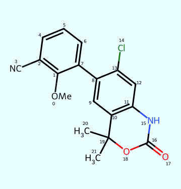 COc1c(C#N)cccc1-c1cc2c(cc1Cl)NC(=O)OC2(C)C